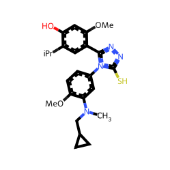 COc1cc(O)c(C(C)C)cc1-c1nnc(S)n1-c1ccc(OC)c(N(C)CC2CC2)c1